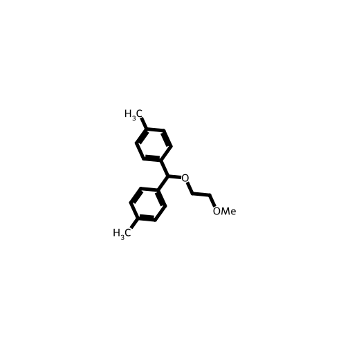 COCCOC(c1ccc(C)cc1)c1ccc(C)cc1